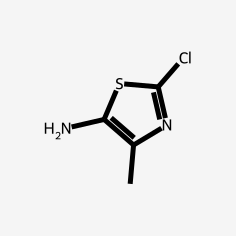 Cc1nc(Cl)sc1N